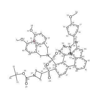 COc1ccc(CN(Cc2ccc(OC)cc2)S(=O)(=O)c2c(S(=O)(=O)C3CN(C(=O)OC(C)(C)C)C3)ccc(-c3cccc4sc(Br)nc34)c2-c2nnn(Cc3ccc(OC)cc3)n2)cc1